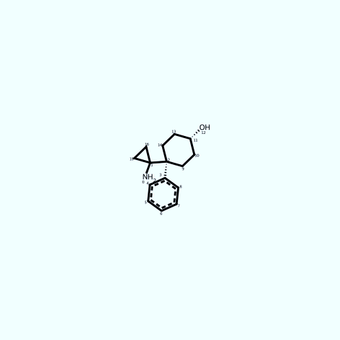 NC1([C@]2(c3ccccc3)CC[C@@H](O)CC2)CC1